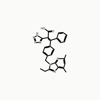 CCc1nc2c(C)cc(C)nc2n1Cc1ccc(/C(=C(/C(=O)O)c2nnn[nH]2)c2ccccc2)cc1